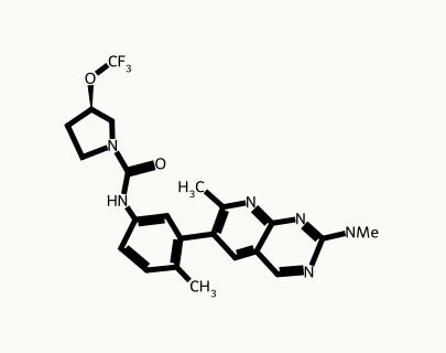 CNc1ncc2cc(-c3cc(NC(=O)N4CC[C@@H](OC(F)(F)F)C4)ccc3C)c(C)nc2n1